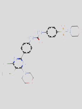 CSc1c(Cl)nc(-c2ccc(NC(=O)Nc3ccc(S(=O)(=O)N4CCOCC4)cc3)cc2)nc1N1CCOCC1